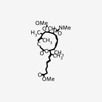 CNC(=O)OC1/C=C\C=C/[C@H](C)C(/C(C)=C/C=C/CCCC(=O)OC)OC(=O)CC/C=C(\C)C(C)[C@H](OCOC)C1C